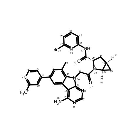 Cc1cc(-c2ccnc(C(F)(F)F)c2)cc2c3c(N)ncnc3n(CC(=O)N3[C@@H]4C[C@@H]4C[C@H]3C(=O)Nc3cccc(Br)n3)c12